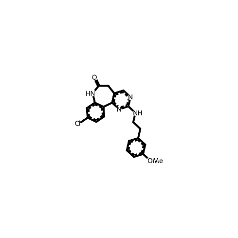 COc1cccc(CCNc2ncc3c(n2)-c2ccc(Cl)cc2NC(=O)C3)c1